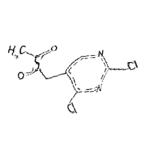 CS(=O)(=O)Cc1cnc(Cl)nc1Cl